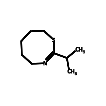 CC(C)/C1=N/CCCCCS1